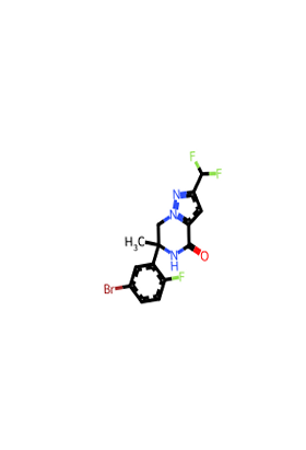 CC1(c2cc(Br)ccc2F)Cn2nc(C(F)F)cc2C(=O)N1